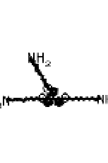 NCCCCCCCCCCCCOc1cccc(C2c3cccc(OCCCCCCCCCCCCN)c3Cc3c(OCCCCCCCCCCCCN)cccc32)c1